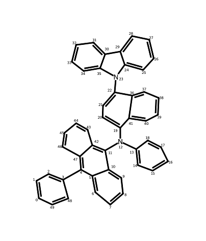 c1ccc(-c2c3ccccc3c(N(c3ccccc3)c3ccc(-n4c5ccccc5c5ccccc54)c4ccccc34)c3ccccc23)cc1